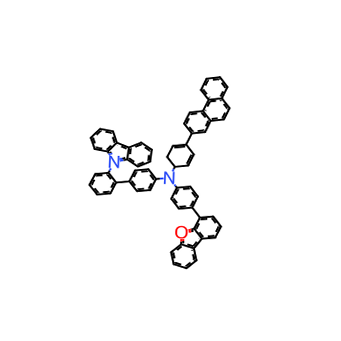 C1=CC(N(c2ccc(-c3ccccc3-n3c4ccccc4c4ccccc43)cc2)c2ccc(-c3cccc4c3oc3ccccc34)cc2)CC=C1c1ccc2c(ccc3ccccc32)c1